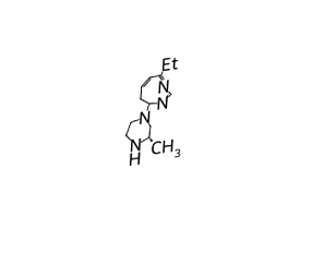 CCC1=N\C=N/C(N2CCN[C@H](C)C2)C/C=C\1